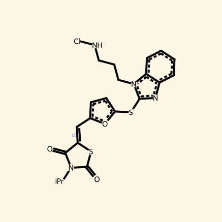 CC(C)N1C(=O)S/C(=C\c2ccc(Sc3nc4ccccc4n3CCCNCl)o2)C1=O